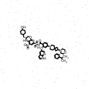 CC(C)c1ccccc1[C@H]1COCCN1C1CC2(CCN(c3ccc(C(=O)NS(=O)(=O)c4cc([N+](=O)[O-])c5c(n4)OC[C@H](CC4CCC(O)CC4)N5)c(Oc4cnc5[nH]ccc5c4)c3)CC2)C1